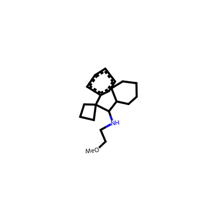 COCCNC(C1CCCCC1)C1(c2ccccc2)CCC1